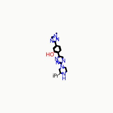 CC(C)[C@H]1CN(c2ncc(-c3ccc(-c4ncn(C)n4)cc3O)nn2)CCN1